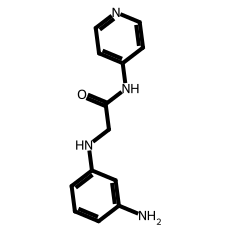 Nc1cccc(NCC(=O)Nc2ccncc2)c1